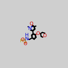 Cc1cc(-c2cc(CN[SH](=O)=O)ccc2OC2CCOCC2)cn(C)c1=O